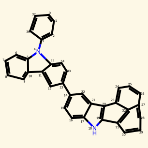 c1ccc(-n2c3ccccc3c3cc(-c4ccc5[nH]c6c(c5c4)-c4cccc5cccc-6c45)ccc32)cc1